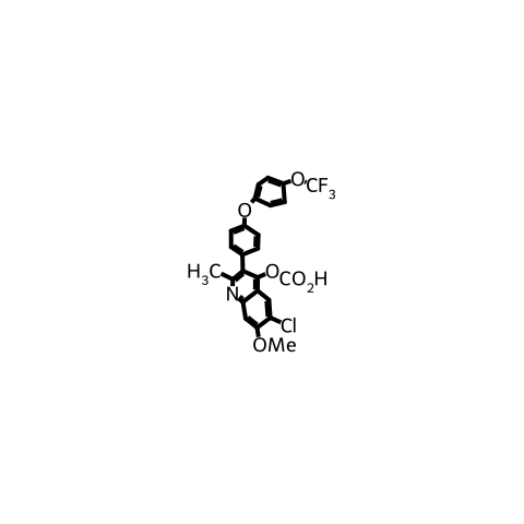 COc1cc2nc(C)c(-c3ccc(Oc4ccc(OC(F)(F)F)cc4)cc3)c(OC(=O)O)c2cc1Cl